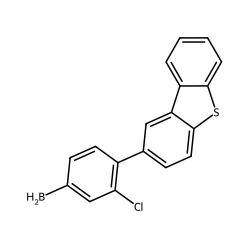 Bc1ccc(-c2ccc3sc4ccccc4c3c2)c(Cl)c1